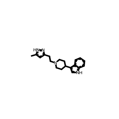 Cc1cc(CCN2CCC(c3c[nH]c4ccccc34)CC2)n[nH]1